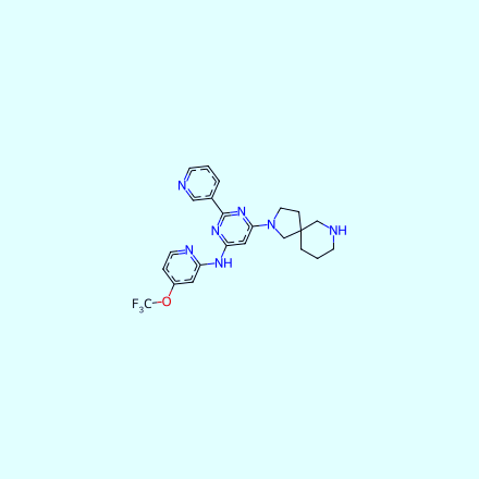 FC(F)(F)Oc1ccnc(Nc2cc(N3CCC4(CCCNC4)C3)nc(-c3cccnc3)n2)c1